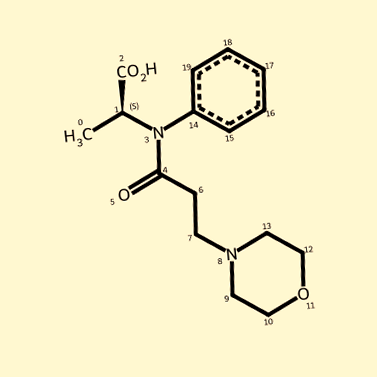 C[C@@H](C(=O)O)N(C(=O)CCN1CCOCC1)c1ccccc1